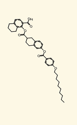 CCCCCCCCCCOc1ccc(C(=O)Oc2ccc3c(c2)CCC(C(=O)Oc2c(C(=O)O)ccc4c2CCCC4)C3)cc1